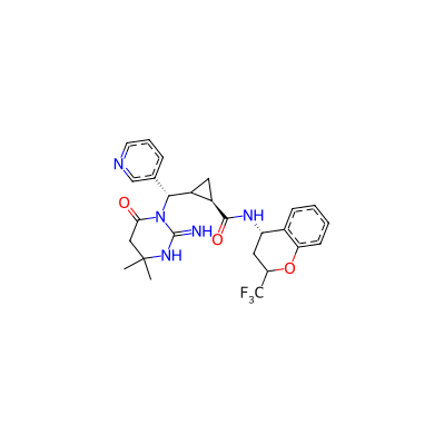 CC1(C)CC(=O)N([C@H](c2cccnc2)C2C[C@H]2C(=O)N[C@H]2CC(C(F)(F)F)Oc3ccccc32)C(=N)N1